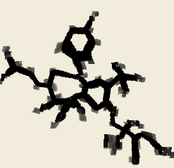 COC(=O)C(C)(C)COc1cc2c(cc1C(F)(F)F)N(c1ccc(F)cc1)C[C@H](CCC(F)F)[C@H](F)S2(=O)=O